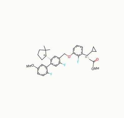 COC(=O)C[C@H](c1cccc(OCc2cc([C@@H]3CCCC3(C)C)c(-c3cc(OC)ccc3F)cc2F)c1F)C1CC1